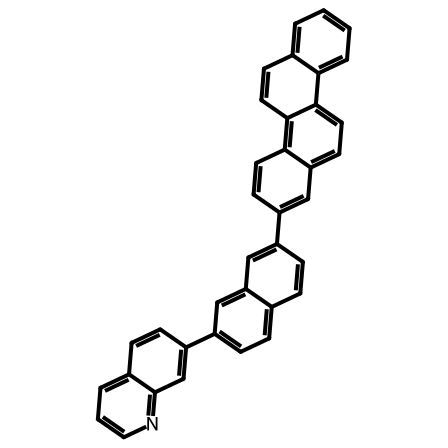 c1cnc2cc(-c3ccc4ccc(-c5ccc6c(ccc7c8ccccc8ccc67)c5)cc4c3)ccc2c1